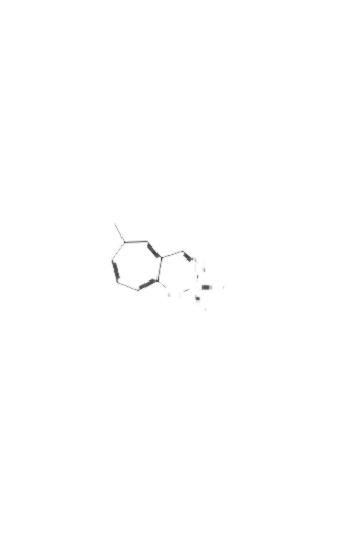 CC1C=CC=C2OS(=O)(=O)N=CC2=C1